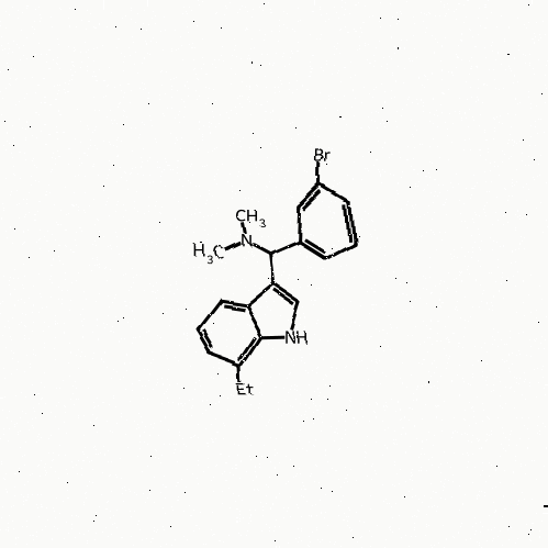 CCc1cccc2c(C(c3cccc(Br)c3)N(C)C)c[nH]c12